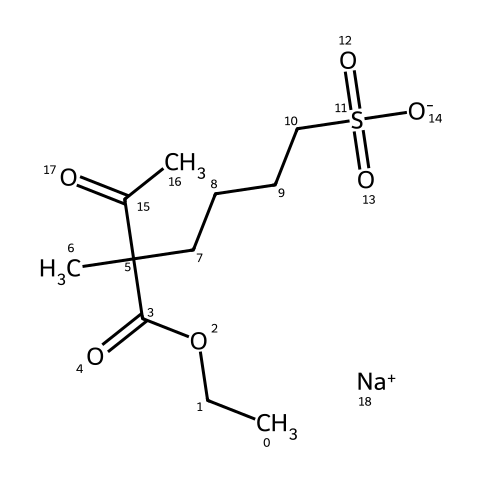 CCOC(=O)C(C)(CCCCS(=O)(=O)[O-])C(C)=O.[Na+]